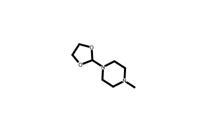 CN1CCN(C2OCCO2)CC1